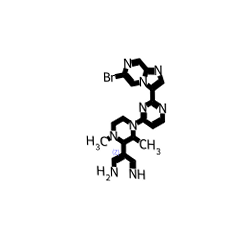 CC1C(/C(C=N)=C/N)N(C)CCN1c1ccnc(-c2cnc3cnc(Br)cn23)n1